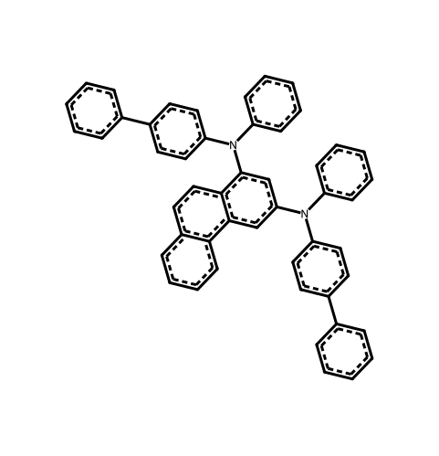 c1ccc(-c2ccc(N(c3ccccc3)c3cc(N(c4ccccc4)c4ccc(-c5ccccc5)cc4)c4ccc5ccccc5c4c3)cc2)cc1